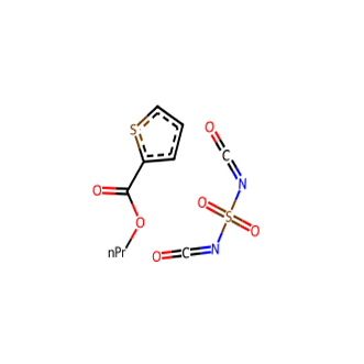 CCCOC(=O)c1cccs1.O=C=NS(=O)(=O)N=C=O